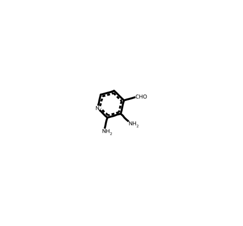 Nc1nccc(C=O)c1N